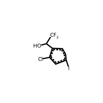 OC(c1ccc(I)cc1Cl)C(F)(F)F